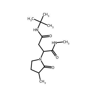 CNC(=O)C(CC(=O)NC(C)(C)C)N1CCC(C)C1=O